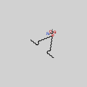 CCCCC/C=C\C/C=C\CCCCCCCCC(CCCCCCCC/C=C\C/C=C\CCCCC)O[C@H]1[C@@H](OC)[C@H](C)O[C@@H]1CN(C)C